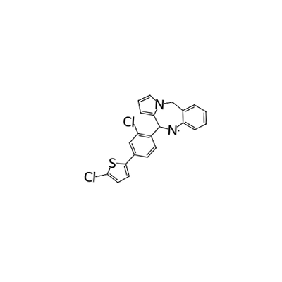 Clc1ccc(-c2ccc(C3[N]c4ccccc4Cn4cccc43)c(Cl)c2)s1